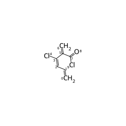 C=C/C=C(/Cl)C(=C)C(=O)Cl